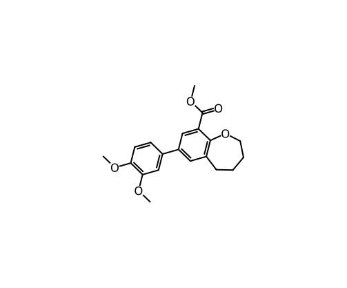 COC(=O)c1cc(-c2ccc(OC)c(OC)c2)cc2c1OCCCC2